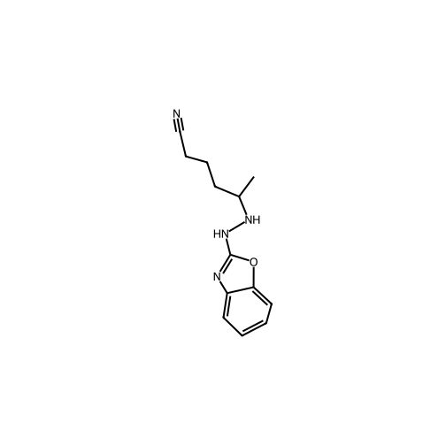 CC(CCCC#N)NNc1nc2ccccc2o1